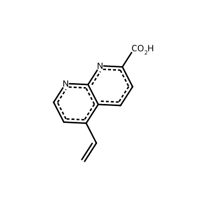 C=Cc1ccnc2nc(C(=O)O)ccc12